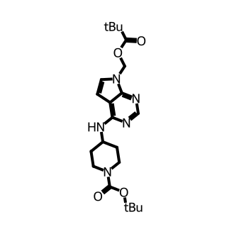 CC(C)(C)OC(=O)N1CCC(Nc2ncnc3c2ccn3COC(=O)C(C)(C)C)CC1